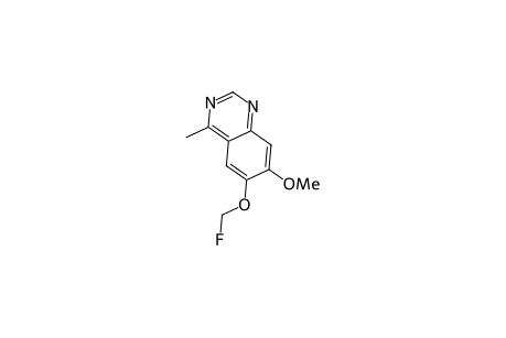 COc1cc2ncnc(C)c2cc1OCF